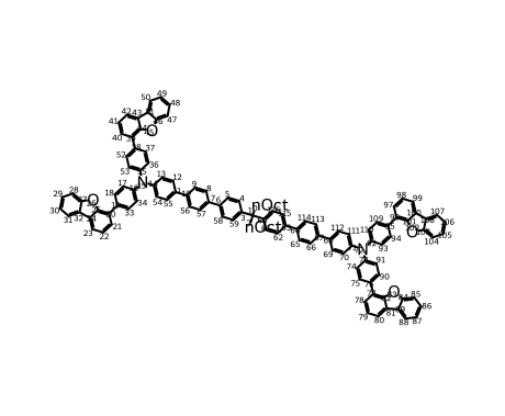 CCCCCCCCC(CCCCCCCC)(c1ccc(-c2ccc(-c3ccc(N(c4ccc(-c5cccc6c5oc5ccccc56)cc4)c4ccc(-c5cccc6c5oc5ccccc56)cc4)cc3)cc2)cc1)c1ccc(-c2ccc(-c3ccc(N(c4ccc(-c5cccc6c5oc5ccccc56)cc4)c4ccc(-c5cccc6c5oc5ccccc56)cc4)cc3)cc2)cc1